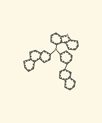 c1cc(-c2ccc3ccccc3c2)cc(N(c2ccc3c(ccc4ccccc43)c2)c2cccc3sc4ccccc4c23)c1